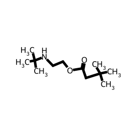 CC(C)(C)CC(=O)OCCNC(C)(C)C